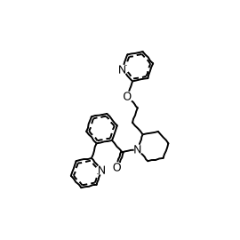 O=C(c1ccccc1-c1ccccn1)N1CCCCC1CCOc1ccccn1